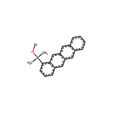 CCO[Si](C)(C)c1cccc2cc3cc4ccccc4cc3cc12